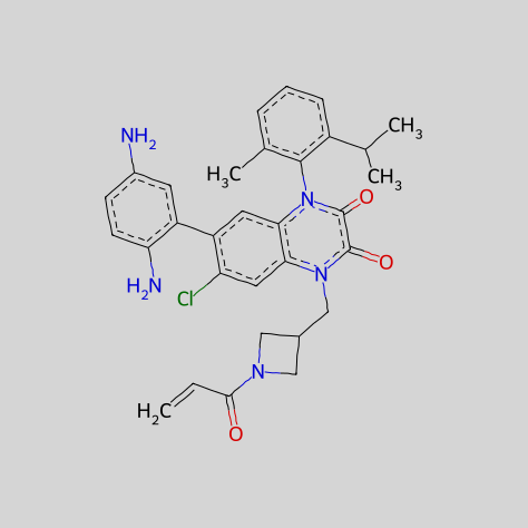 C=CC(=O)N1CC(Cn2c(=O)c(=O)n(-c3c(C)cccc3C(C)C)c3cc(-c4cc(N)ccc4N)c(Cl)cc32)C1